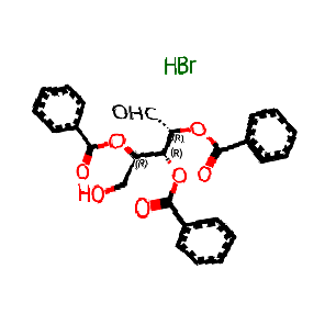 Br.O=C[C@H](OC(=O)c1ccccc1)[C@H](OC(=O)c1ccccc1)[C@@H](CO)OC(=O)c1ccccc1